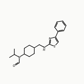 CC(C)N(C=O)C1CCC(CNc2nc(-c3ccccc3)cs2)CC1